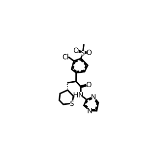 CS(=O)(=O)c1ccc(C(C[C@H]2CCCSC2)C(=O)Nc2cnccn2)cc1Cl